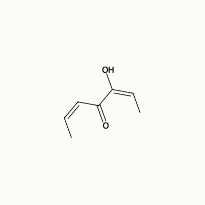 C/C=C\C(=O)/C(O)=C\C